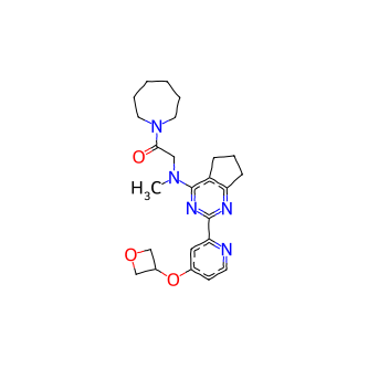 CN(CC(=O)N1CCCCCC1)c1nc(-c2cc(OC3COC3)ccn2)nc2c1CCC2